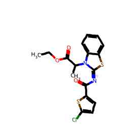 CCOC(=O)C(C)n1/c(=N\C(=O)c2ccc(Cl)s2)sc2ccccc21